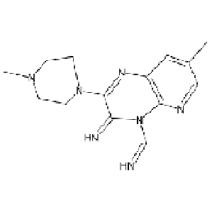 Cc1cnc2c(c1)nc(N1CCN(C)CC1)c(=N)n2C=N